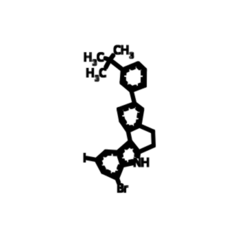 CC(C)(C)c1cccc(-c2ccc3c(c2)CCc2[nH]c4c(Br)cc(I)cc4c2-3)c1